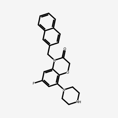 O=C1COc2c(N3CCNCC3)cc(F)cc2N1Cc1ccc2ccccc2c1